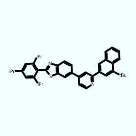 CC(C)c1cc(C(C)C)c(-c2nc3ccc(-c4ccnc(-c5cc(C(C)(C)C)c6ccccc6c5)c4)cc3s2)c(C(C)C)c1